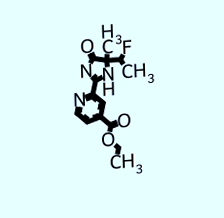 CCOC(=O)c1ccnc(C2=NC(=O)C(C)(C(C)F)N2)c1